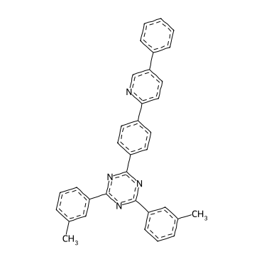 Cc1cccc(-c2nc(-c3ccc(-c4ccc(-c5ccccc5)cn4)cc3)nc(-c3cccc(C)c3)n2)c1